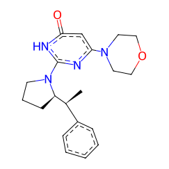 C[C@@H](c1ccccc1)[C@H]1CCCN1c1nc(N2CCOCC2)cc(=O)[nH]1